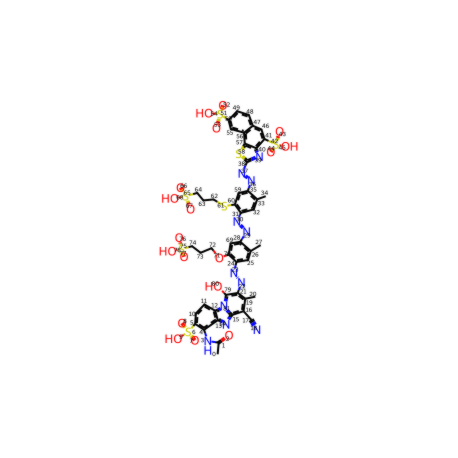 CC(=O)Nc1c(S(=O)(=O)O)ccc2c1nc1c(C#N)c(C)c(N=Nc3cc(C)c(N=Nc4cc(C)c(N=Nc5nc6c(S(=O)(=O)O)cc7ccc(S(=O)(=O)O)cc7c6s5)cc4SCCCS(=O)(=O)O)cc3OCCCS(=O)(=O)O)c(O)n12